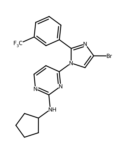 FC(F)(F)c1cccc(-c2nc(Br)cn2-c2ccnc(NC3CCCC3)n2)c1